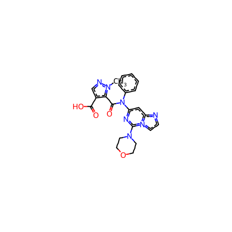 Cn1ncc(C(=O)O)c1C(=O)N(c1ccccc1)c1cc2nccn2c(N2CCOCC2)n1